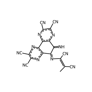 C/C(C#N)=C(C#N)\N=C1/C(=N)c2nc(C#N)c(C#N)nc2-c2nc(C#N)c(C#N)nc21